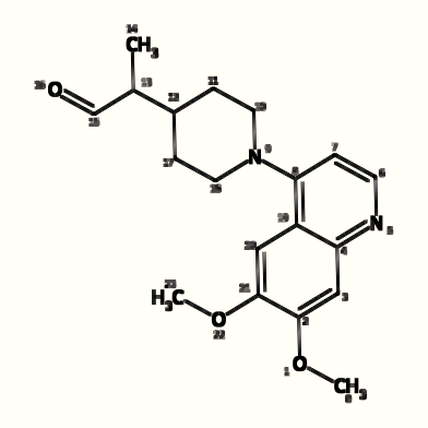 COc1cc2nccc(N3CCC(C(C)C=O)CC3)c2cc1OC